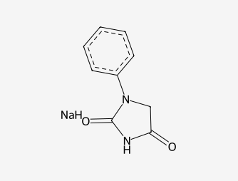 O=C1CN(c2ccccc2)C(=O)N1.[NaH]